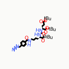 CC(C)COC(=O)[C@H](CCCCNC(=O)c1ccc(CN=[N+]=[N-])cc1)NC(=O)N[C@@H](CCC(=O)OC(C)(C)C)C(=O)OC(C)(C)C